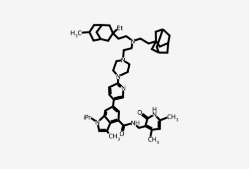 CCC1(CCN(CCN2CCN(c3ccc(-c4cc(C(=O)NCc5c(C)cc(C)[nH]c5=O)c5c(C)cn(C(C)C)c5c4)cn3)CC2)CCC23CC4CC(CC(C4)C2)C3)CC2CC(C)CC(C2)C1